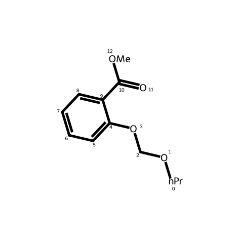 CCCOCOc1ccccc1C(=O)OC